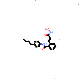 CCCCc1ccc(NC(=O)c2ccccc2/C=C/C(=O)NO)cc1